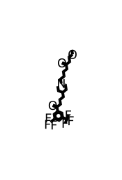 COCCC(=O)CCCCN1CCC(CCCC(=O)c2cc(C(F)(F)F)cc(C(F)(F)F)c2)CC1